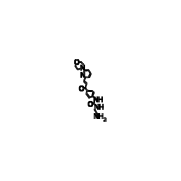 NCCNC(=O)Nc1ccc(C(=O)C=Cc2cccc(N3CCOCC3)n2)cc1